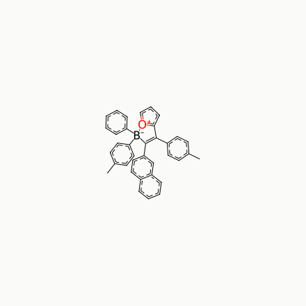 Cc1ccc(C2=C(c3ccc4ccccc4c3)[B-](c3ccccc3)(c3ccc(C)cc3)[o+]3cccc32)cc1